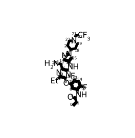 C=CC(=O)Nc1cc(Oc2nc(Nc3cnn(C4CCN(CC(F)(F)F)CC4)c3)c(CN)nc2CC)c(F)cc1F